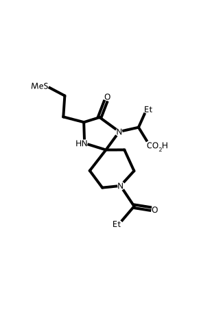 CCC(=O)N1CCC2(CC1)NC(CCSC)C(=O)N2C(CC)C(=O)O